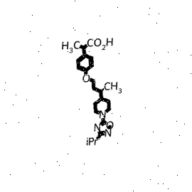 CC(C)c1noc(N2CCC([C@H](C)CCOc3ccc(C(C)C(=O)O)cc3)CC2)n1